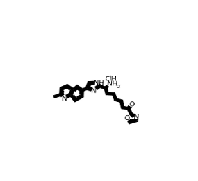 Cc1ccc2cc(-c3c[nH]c(C(N)CCCCCC(=O)c4ncco4)n3)ccc2n1.Cl